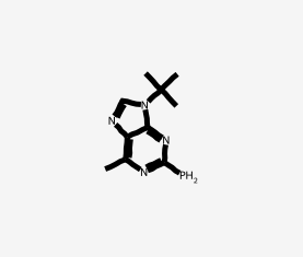 Cc1nc(P)nc2c1ncn2C(C)(C)C